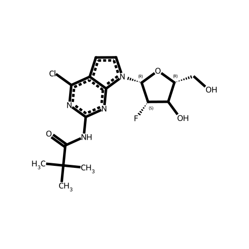 CC(C)(C)C(=O)Nc1nc(Cl)c2ccn([C@@H]3O[C@H](CO)C(O)[C@@H]3F)c2n1